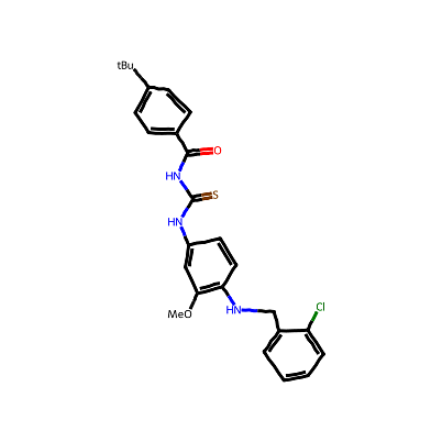 COc1cc(NC(=S)NC(=O)c2ccc(C(C)(C)C)cc2)ccc1NCc1ccccc1Cl